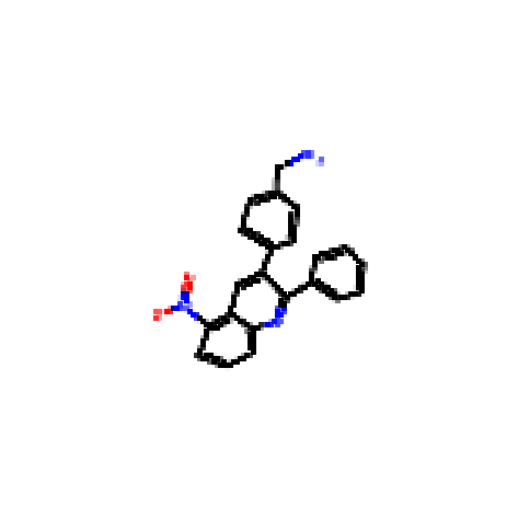 NCc1ccc(-c2cc3c([N+](=O)[O-])cccc3nc2-c2ccccc2)cc1